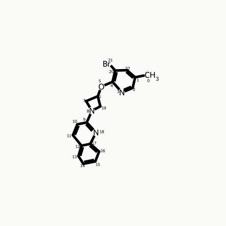 Cc1cnc(OC2CN(c3ccc4ccccc4n3)C2)c(Br)c1